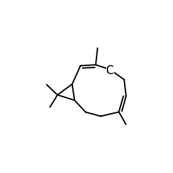 CC1=CC2C(CCC(C)=CCC1)C2(C)C